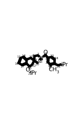 Cc1cc(C(=O)N2CCC3(CC2)Cc2ccccc2C(OC(C)C)C3)ccc1CC(C)C